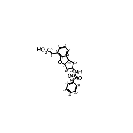 O=C(O)Cc1cccc2c1OC1CC(NS(=O)(=O)c3ccccc3)CC21